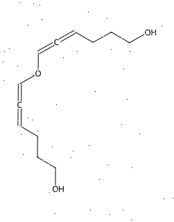 OCCCC=C=COC=C=CCCCO